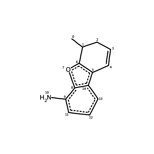 CC1CC=Cc2c1oc1c(N)cccc21